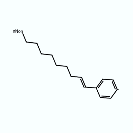 CCCCCCCCCCCCCCCCC=Cc1cc[c]cc1